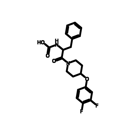 O=C(O)NC(Cc1ccccc1)C(=O)N1CCC(Oc2ccc(F)c(F)c2)CC1